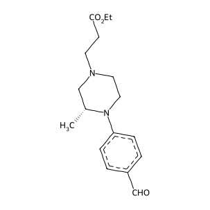 CCOC(=O)CCN1CCN(c2ccc(C=O)cc2)[C@H](C)C1